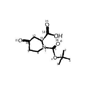 CC(C)(C)OC(=O)N1CCC(=O)C[C@H]1C(=O)O